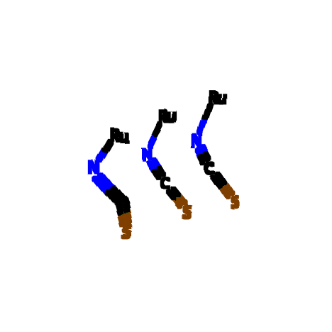 S=C=[N][Ru].S=C=[N][Ru].S=C=[N][Ru]